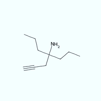 C#CCC(N)(CCC)CCC